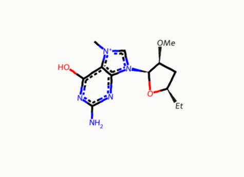 CC[C@@H]1C[C@H](OC)[C@H](n2c[n+](C)c3c(O)nc(N)nc32)O1